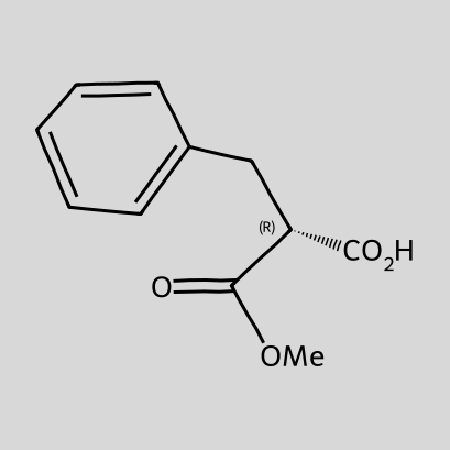 COC(=O)[C@H](Cc1ccccc1)C(=O)O